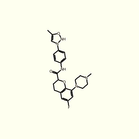 CC1=CN(c2ccc(NC(=O)C3CCc4cc(F)cc(N5CCN(C)CC5)c4O3)cc2)NO1